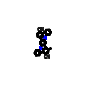 CC1C=C(C#N)c2c3n(c4ccccc24)-c2cc4c5ccc(C#N)c6c5n(c4cc2C31)C1=CC=CCC16